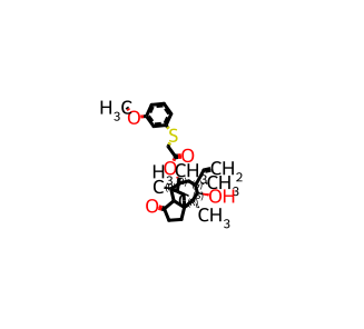 C=C[C@]1(C)C[C@@H](OC(=O)CSc2cccc(OC)c2)[C@]2(C)C(C)CCC3(CCC(=O)C32)[C@@H](C)[C@@H]1O